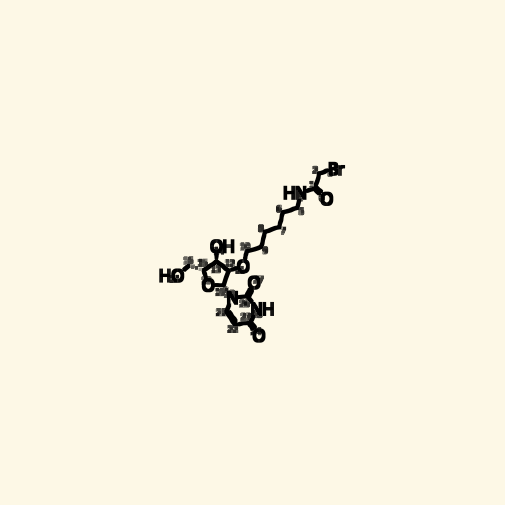 O=C(CBr)NCCCCCCO[C@@H]1[C@H](O)[C@@H](CO)O[C@H]1n1ccc(=O)[nH]c1=O